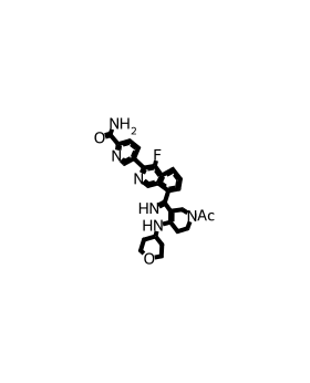 CC(=O)N1CCC(NC2CCOCC2)=C(C(=N)c2cccc3c(F)c(-c4ccc(C(N)=O)nc4)ncc23)C1